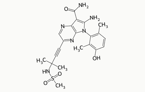 Cc1ccc(O)c(C)c1-n1c(N)c(C(N)=O)c2ncc(C#CC(C)(C)NS(C)(=O)=O)nc21